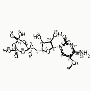 COc1cn([C@@H]2O[C@H](COP3(=O)OP(=O)(O)OP(=O)(O)O3)C(O)C2O)c(=O)nc1N